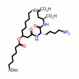 CCCCCCCCCCCCCCCC(=O)OC(CCCCCCCCCCCCCCC)CC(=O)N[C@@H](CCCCN)C(=O)N[C@@H](CCC(=O)O)C(=O)O